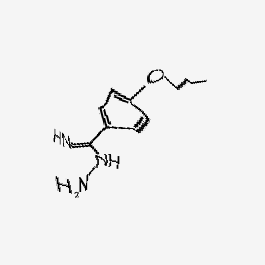 CCCOc1ccc(C(=N)NN)cc1